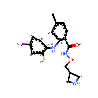 Cc1ccc(C(=O)NOCC2CNC2)c(Nc2ccc(I)cc2F)c1